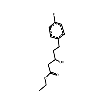 CCOC(=O)CC(O)CCc1ccc(F)cc1